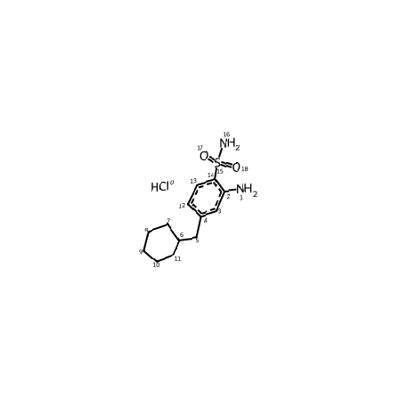 Cl.Nc1cc(CC2CCCCC2)ccc1S(N)(=O)=O